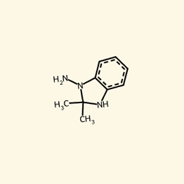 CC1(C)Nc2ccccc2N1N